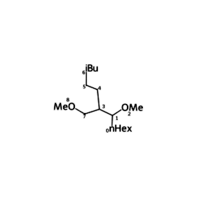 CCCCCCC(OC)C(CCC(C)CC)COC